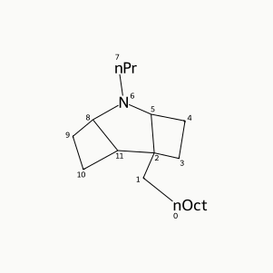 CCCCCCCCCC12CCC1N(CCC)C1CCC12